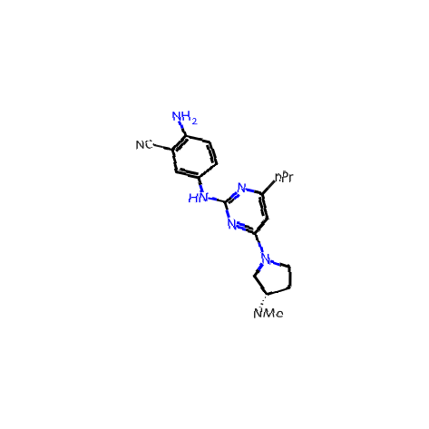 CCCc1cc(N2CC[C@H](NC)C2)nc(Nc2ccc(N)c(C#N)c2)n1